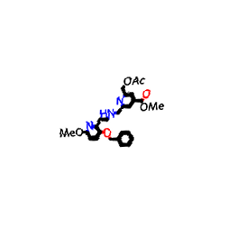 COC(=O)c1cc(CNCCc2nc(OC)ccc2OCc2ccccc2)nc(COC(C)=O)c1